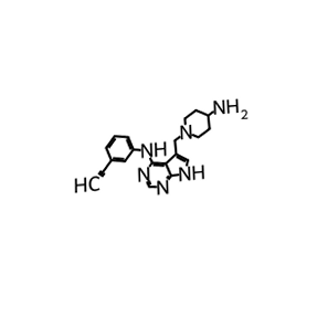 C#Cc1cccc(Nc2ncnc3[nH]cc(CN4CCC(N)CC4)c23)c1